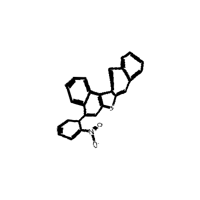 O=[N+]([O-])C1=CC=CCC1c1cc2sc3cc4ccccc4cc3c2c2ccccc12